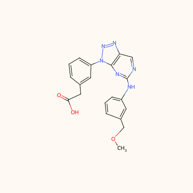 COCc1cccc(Nc2ncc3nnn(-c4cccc(CC(=O)O)c4)c3n2)c1